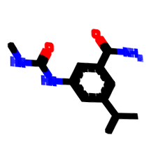 CNC(=O)Nc1cc(C(N)=O)cc(C(C)C)c1